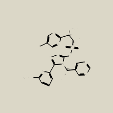 COc1cccc(-c2nnc(NS(=O)(=O)[C@@H](C)[C@H](OC)c3ncc(Cl)cn3)n2[C@H](C)c2cncnc2)n1